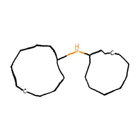 C1CCCCC(PC2CCCCCCCC2)CCCC1